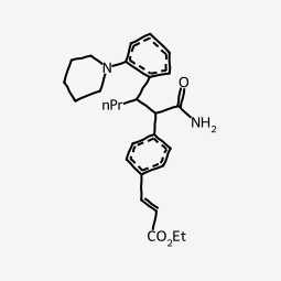 CCCC(c1ccccc1N1CCCCC1)C(C(N)=O)c1ccc(/C=C/C(=O)OCC)cc1